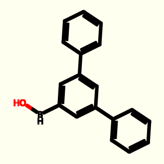 OBc1cc(-c2ccccc2)cc(-c2ccccc2)c1